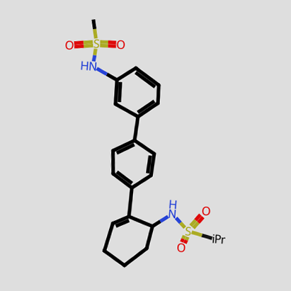 CC(C)S(=O)(=O)NC1CCCC=C1c1ccc(-c2cccc(NS(C)(=O)=O)c2)cc1